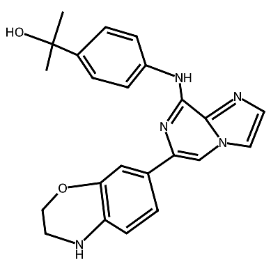 CC(C)(O)c1ccc(Nc2nc(-c3ccc4c(c3)OCCN4)cn3ccnc23)cc1